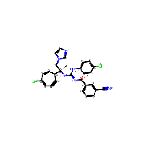 C[C@](Cn1ccnc1)(N/C(=N/C(=O)c1cccc(C#N)c1)Nc1ccc(Cl)cc1)C1C#CC=C(Cl)C=C1